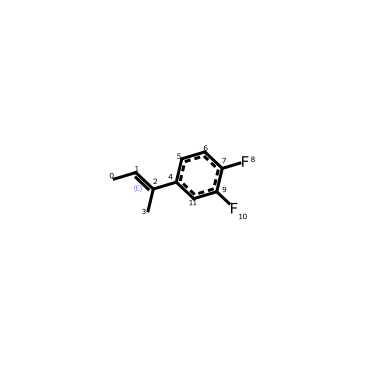 C/C=C(\C)c1ccc(F)c(F)c1